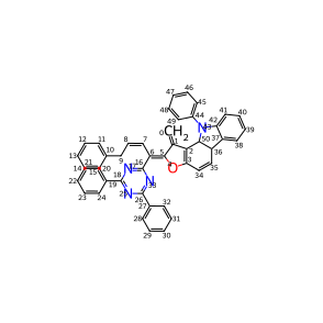 C=c1c2c(o/c1=C(/C=C\Cc1ccccc1)c1nc(-c3ccccc3)nc(-c3ccccc3)n1)C=CC1c3ccccc3N(c3ccccc3)C21